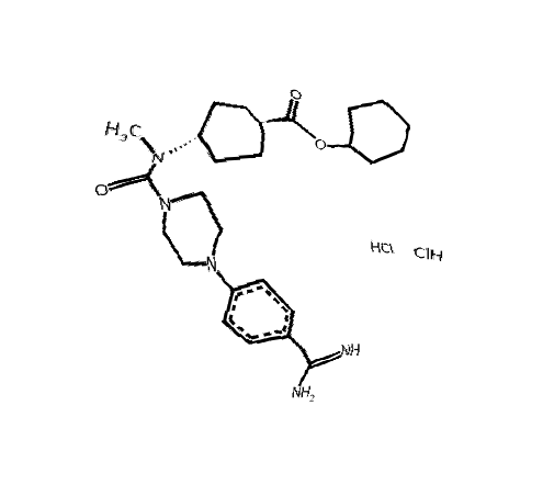 CN(C(=O)N1CCN(c2ccc(C(=N)N)cc2)CC1)[C@H]1CC[C@H](C(=O)OC2CCCCC2)CC1.Cl.Cl